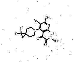 Cc1nc(C)c(C(=O)C(=O)OC(C)C)c(N2CCC3(CC2)CC3(F)F)c1Br